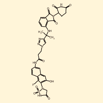 CC(C)(Nc1cccc2c1C(=O)N(C1CCC(=O)NC1=O)C2=O)c1cn(CCC(=O)Nc2ccc3c(F)c(N4CC(=O)NS4(=O)=O)c(O)cc3c2)nn1